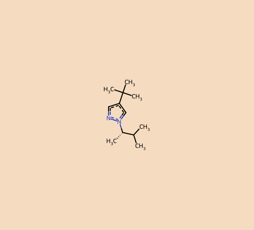 CC(C)[C@H](C)n1cc(C(C)(C)C)cn1